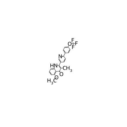 COc1cccc2[nH]c(-c3ccc(-c4ccc(OC(F)(F)F)cc4)nc3)c(C)c(=O)c12